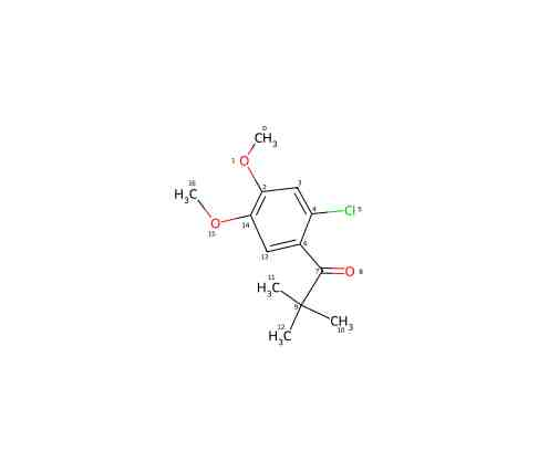 COc1cc(Cl)c(C(=O)C(C)(C)C)cc1OC